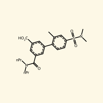 CCCN(CCC)C(=O)c1cc(C(=O)O)cc(-c2ccc(S(=O)(=O)N(C)C)cc2C)c1